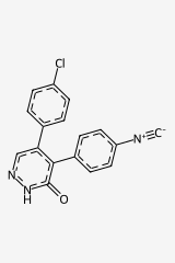 [C-]#[N+]c1ccc(-c2c(-c3ccc(Cl)cc3)cn[nH]c2=O)cc1